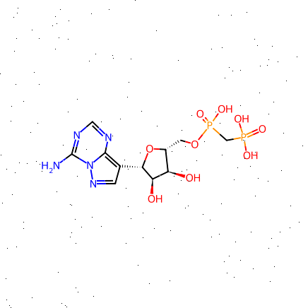 Nc1ncnc2c([C@@H]3O[C@H](COP(=O)(O)CP(=O)(O)O)[C@@H](O)[C@H]3O)cnn12